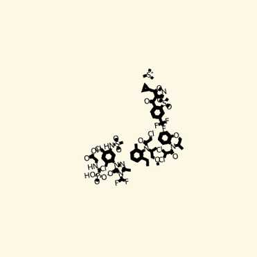 CC1COc2ccccc2N1C(=O)C(Cl)Cl.CCc1cccc(C)c1N(C(=O)CCl)C(C)COC.CS(=O)(=O)c1cc(C(F)(F)F)ccc1C(=O)c1cnoc1C1CC1.C[S+](C)C.Cc1nn(-c2cc(NS(C)(=O)=O)c(Cl)cc2Cl)c(=O)n1C(F)F.O=C(O)CNCP(=O)([O-])O